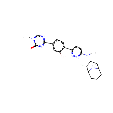 CN1C2CCCC1[C@H](F)[C@H](N(C)c1ccc(-c3ccc(-c4ncn(C)c(=O)n4)cc3O)nn1)C2